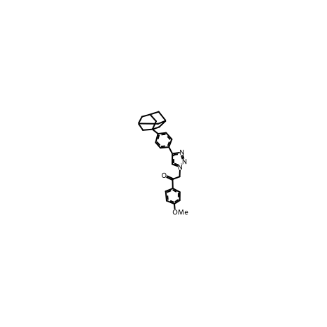 COc1ccc(C(=O)Cn2cc(-c3ccc(C45CC6CC(CC(C6)C4)C5)cc3)nn2)cc1